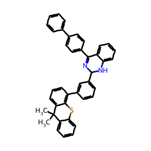 CC1(C)c2ccccc2Sc2c(-c3cccc(C4N=C(c5ccc(-c6ccccc6)cc5)c5ccccc5N4)c3)cccc21